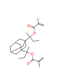 C=C(C)C(=O)OC(C)(CC)C12CC3CC(C1)CC(C(C)(CC)OC(=O)C(=C)C)(C3)C2